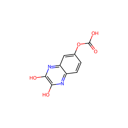 O=C(O)Oc1ccc2nc(O)c(O)nc2c1